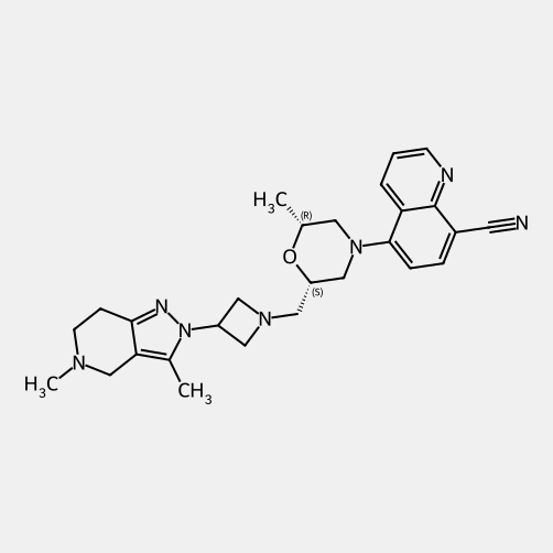 Cc1c2c(nn1C1CN(C[C@H]3CN(c4ccc(C#N)c5ncccc45)C[C@@H](C)O3)C1)CCN(C)C2